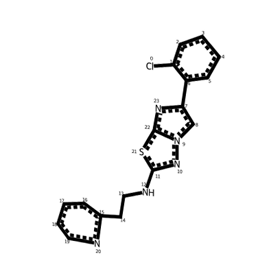 Clc1ccccc1-c1cn2nc(NCCc3ccccn3)sc2n1